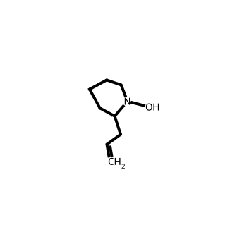 C=CC[C]1CCCCN1O